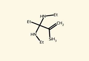 C=C([SiH3])C(CC)(NCC)NCC